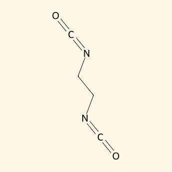 O=C=NCCN=C=O